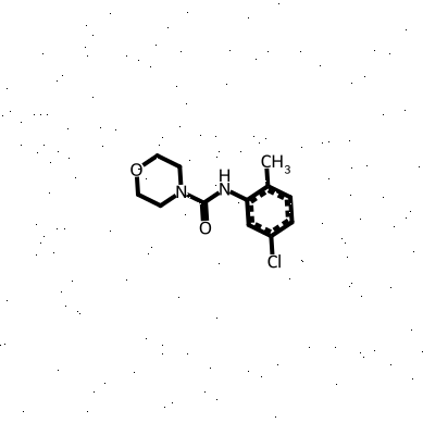 Cc1ccc(Cl)cc1NC(=O)N1CCOCC1